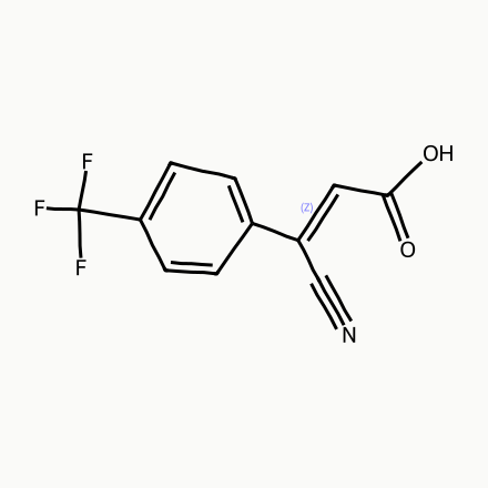 N#C/C(=C\C(=O)O)c1ccc(C(F)(F)F)cc1